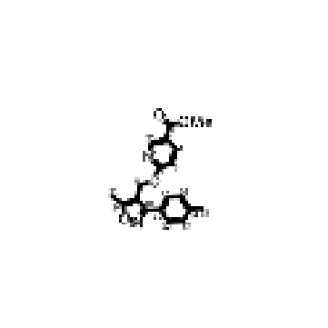 COC(=O)c1ccc(OCc2c(-c3ccc(C)cc3)noc2C)nc1